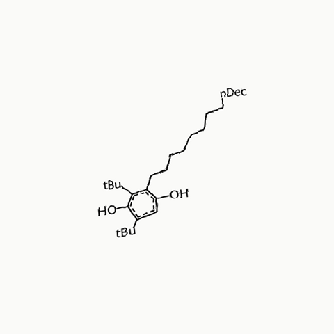 CCCCCCCCCCCCCCCCCCc1c(O)cc(C(C)(C)C)c(O)c1C(C)(C)C